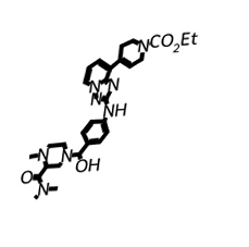 CCOC(=O)N1CC=C(c2cccn3nc(Nc4ccc(C(O)N5CCN(C)C(C(=O)N(C)C)C5)cc4)nc23)CC1